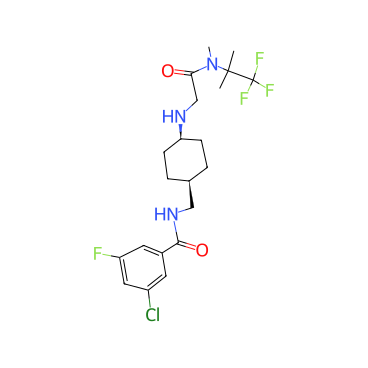 CN(C(=O)CN[C@H]1CC[C@@H](CNC(=O)c2cc(F)cc(Cl)c2)CC1)C(C)(C)C(F)(F)F